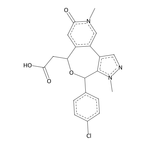 Cn1ncc2c1C(c1ccc(Cl)cc1)OC(CC(=O)O)c1cc(=O)n(C)cc1-2